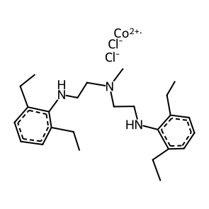 CCc1cccc(CC)c1NCCN(C)CCNc1c(CC)cccc1CC.[Cl-].[Cl-].[Co+2]